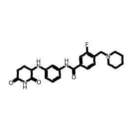 O=C1CCC(Nc2cccc(NC(=O)c3ccc(CN4CCCCC4)c(F)c3)c2)C(=O)N1